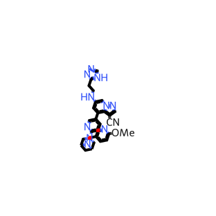 COc1ccc(CN2C3CC2CN(c2ccc(-c4cc(NCCc5nnc[nH]5)cn5ncc(C#N)c45)cn2)C3)cn1